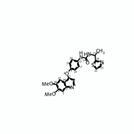 COc1cc2nccc(Oc3ccc(NC(=O)NC(C)c4nccs4)cc3)c2cc1OC